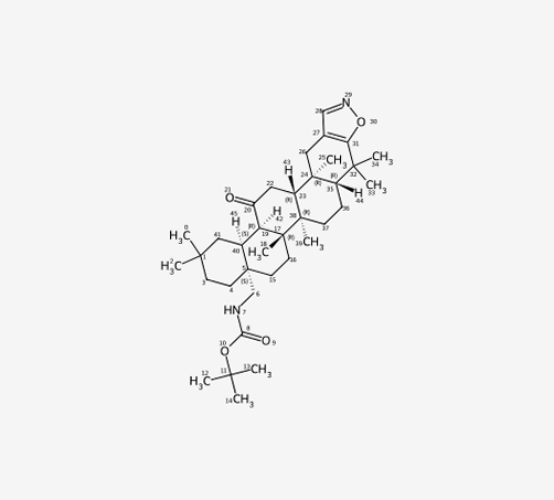 CC1(C)CC[C@]2(CNC(=O)OC(C)(C)C)CC[C@]3(C)[C@H](C(=O)C[C@@H]4[C@@]5(C)Cc6cnoc6C(C)(C)[C@@H]5CC[C@]43C)[C@@H]2C1